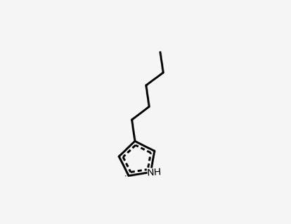 CCCCCc1c[c][nH]c1